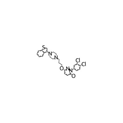 O=c1ccc(OCCCN2CCN(c3csc4ccccc34)CC2)nn1-c1ccc(Cl)c(Cl)c1